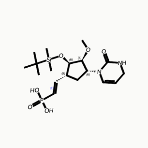 CO[C@@H]1[C@H](O[Si](C)(C)C(C)(C)C)[C@@H](/C=C/P(=O)(O)O)C[C@H]1N1C=CCNC1=O